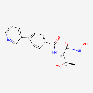 C[C@@H](O)[C@H](NC(=O)c1ccc(-c2cccnc2)cc1)C(=O)NO